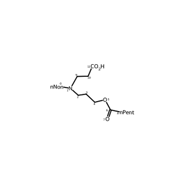 CCCCCCCCCN(CCCOC(=O)CCCCC)CCC(=O)O